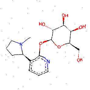 CN1CCC[C@@H]1c1cccnc1O[C@@H]1O[C@H](CO)[C@H](O)[C@H](O)[C@H]1O